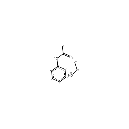 CC(=O)Oc1ccccc1.CCO